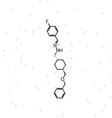 Fc1ccc(/C=N/NC[C@H]2CC[C@H](COCc3ccccc3)CC2)cc1